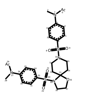 CC(=O)N(C)c1ccc(S(=O)(=O)N2CCC3(CC2)OCCN3S(=O)(=O)c2ccc(N(C)C(C)=O)cc2)cc1